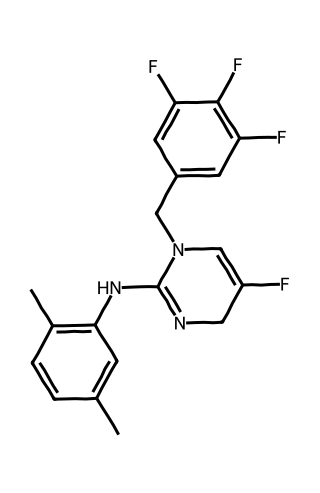 Cc1ccc(C)c(NC2=NCC(F)=CN2Cc2cc(F)c(F)c(F)c2)c1